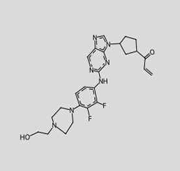 C=CC(=O)C1CCC(n2cnc3cnc(Nc4ccc(N5CCN(CCO)CC5)c(F)c4F)nc32)C1